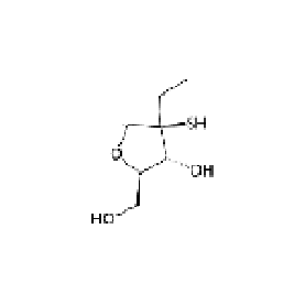 CC[C@@]1(S)[CH]O[C@H](CO)[C@H]1O